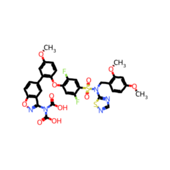 COc1ccc(CN(c2ncns2)S(=O)(=O)c2cc(F)c(Oc3ccc(OC)cc3-c3ccc4onc(N(C(=O)O)C(=O)O)c4c3)cc2F)c(OC)c1